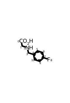 O=C(O)CNCc1ccc(F)cc1